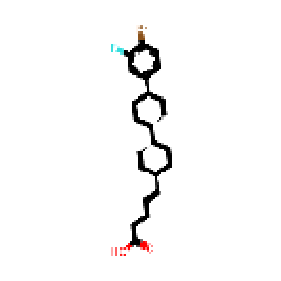 O=C(O)CCC=C[C@H]1CC[C@H]([C@H]2CC[C@H](c3ccc(Br)c(F)c3)CC2)CC1